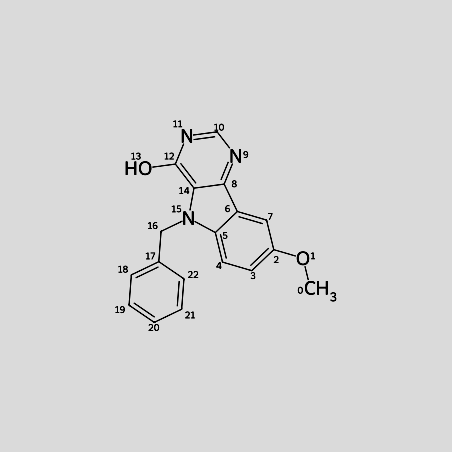 COc1ccc2c(c1)c1ncnc(O)c1n2Cc1ccccc1